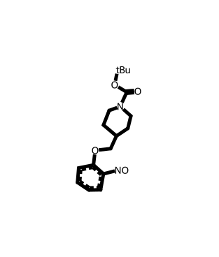 CC(C)(C)OC(=O)N1CCC(COc2ccccc2N=O)CC1